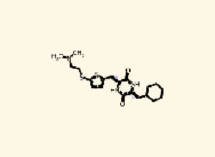 CN(C)CCSc1ccc(/C=c2\[nH]c(=O)/c(=C/C3CCCCC3)[nH]c2=O)s1